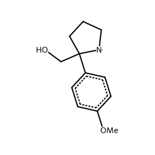 COc1ccc(C2(CO)CCC[N]2)cc1